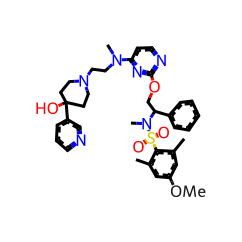 COc1cc(C)c(S(=O)(=O)N(C)C(COc2nccc(N(C)CCN3CCC(O)(c4cccnc4)CC3)n2)c2ccccc2)c(C)c1